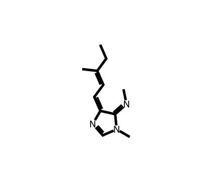 CC/C(C)=C/C=C1/N=CN(C)/C1=N/C